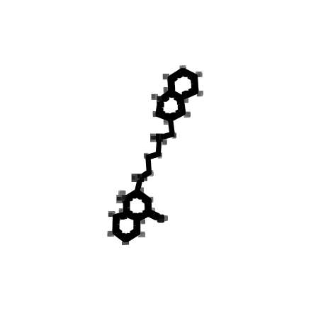 O=c1cc(NCCCNCc2cnc3ccccc3c2)[nH]c2ccccc12